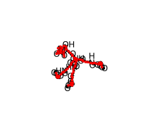 COc1ccc(C(OC[C@H]2C[C@H](O)CN2C(=O)CCCCCCC(=O)CCC(=O)NC(CCCOC(=O)CCCCCCCNC(=O)CCCOC2OC(COC(C)=O)C(C)C(C)C2C)(CCCOC(=O)CCCCCCCNC(=O)CCCOC2OC(COC(C)=O)C(C)C(C)C2C)CCCOC(=O)NCCCCCCCC(=O)CCCOC2OC(COC(C)=O)C(C)C(C)C2C)(c2ccccc2)c2ccc(OC)cc2)cc1